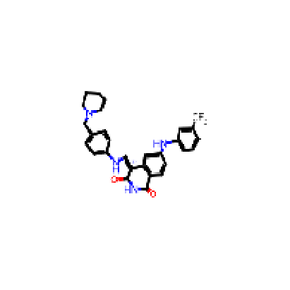 O=C1NC(=O)c2ccc(Nc3cccc(C(F)(F)F)c3)cc2/C1=C/Nc1ccc(CN2CCCCC2)cc1